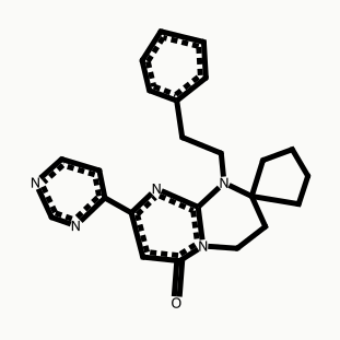 O=c1cc(-c2ccncn2)nc2n1CCC1(CCCC1)N2CCc1ccccc1